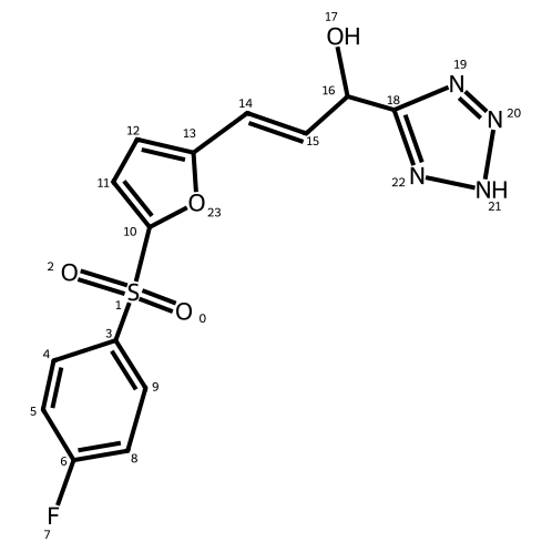 O=S(=O)(c1ccc(F)cc1)c1ccc(C=CC(O)c2nn[nH]n2)o1